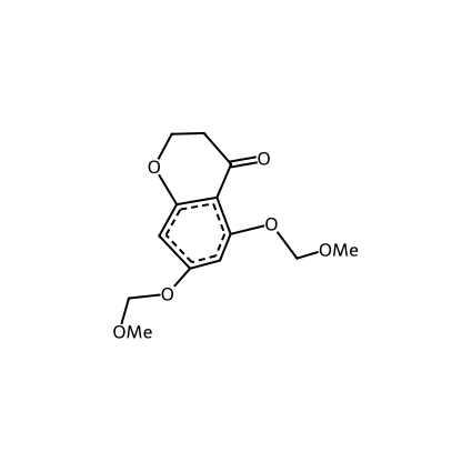 COCOc1cc2c(c(OCOC)c1)C(=O)CCO2